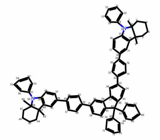 CC12CCCCC1(C)N(c1ccccc1)c1ccc(-c3ccc(-c4ccc5c(c4)-c4cc(-c6ccc(-c7ccc8c(c7)C7(C)CCCCC7(C)N8c7ccccc7)cc6)ccc4C5(c4ccccc4)c4ccccc4)cc3)cc12